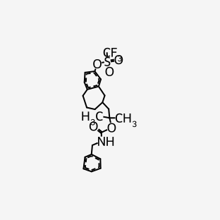 CC(C)(CC1CCCc2ccc(OS(=O)(=O)C(F)(F)F)cc2C1)OC(=O)NCc1ccccc1